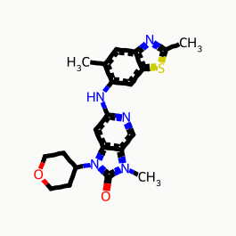 Cc1nc2cc(C)c(Nc3cc4c(cn3)n(C)c(=O)n4C3CCOCC3)cc2s1